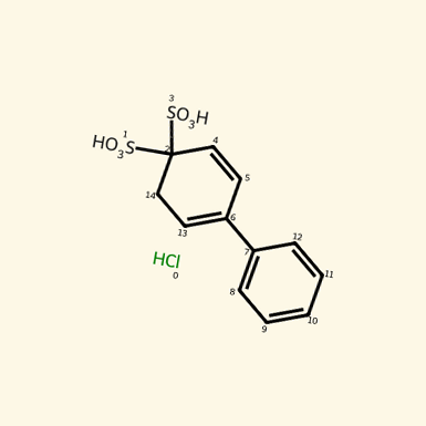 Cl.O=S(=O)(O)C1(S(=O)(=O)O)C=CC(c2ccccc2)=CC1